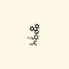 COC1CN(c2cnc(-c3ccccc3)c(-c3ccccc3)n2)CCC1OCC(=O)O